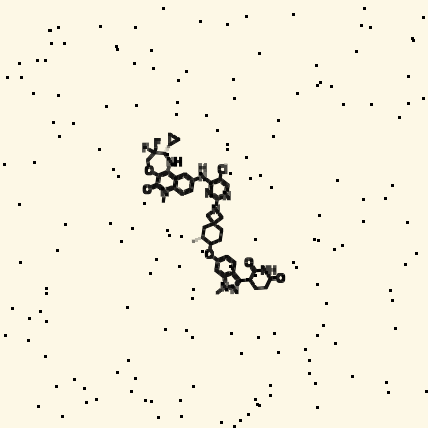 C[C@@H]1CC2(CC[C@H]1Oc1ccc3c(C4CCC(=O)NC4=O)nn(C)c3c1)CN(c1ncc(Cl)c(Nc3ccc4c(c3)c3c(c(=O)n4C)OCC(F)(F)[C@H](C4CC4)N3)n1)C2